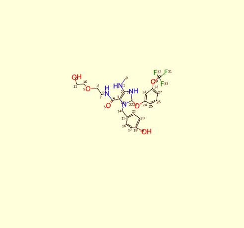 CNC1=C(C(=O)NCCOCCO)N(Cc2ccc(O)cc2)C(Oc2cccc(OC(F)(F)F)c2)N1